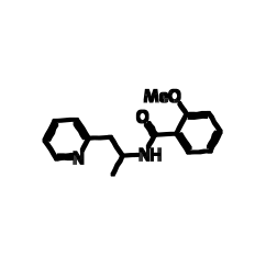 COc1ccccc1C(=O)NC(C)Cc1ccccn1